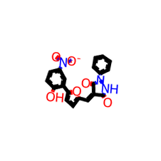 O=C1NN(c2ccccc2)C(=O)C1=Cc1ccc(-c2cc([N+](=O)[O-])ccc2O)o1